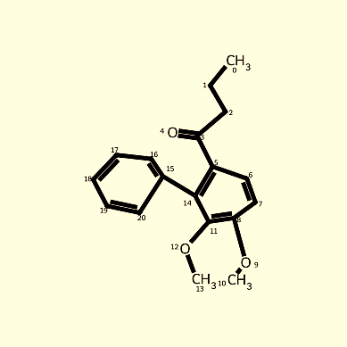 CCCC(=O)c1ccc(OC)c(OC)c1-c1ccccc1